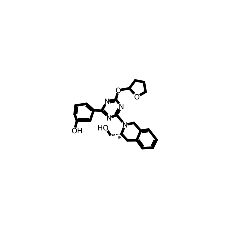 OC[C@H]1Cc2ccccc2CN1c1nc(OC2CCCO2)nc(-c2cccc(O)c2)n1